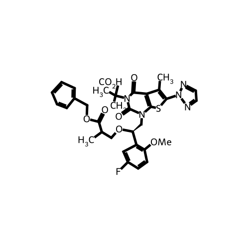 COc1ccc(F)cc1[C@H](Cn1c(=O)n(C(C)(C)C(=O)O)c(=O)c2c(C)c(-n3nccn3)sc21)OCC(C)C(=O)OCc1ccccc1